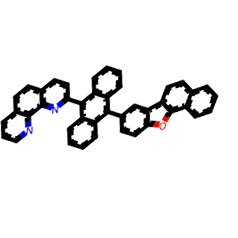 c1ccc2c(c1)ccc1c3cc(-c4c5ccccc5c(-c5ccc6ccc7cccnc7c6n5)c5ccccc45)ccc3oc21